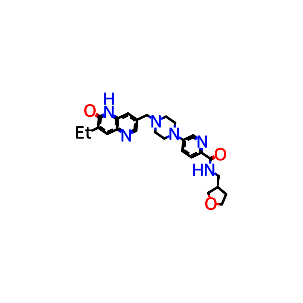 CCc1cc2ncc(CN3CCN(c4ccc(C(=O)NC[C@H]5CCOC5)nc4)CC3)cc2[nH]c1=O